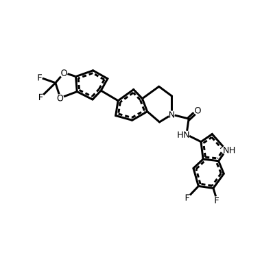 O=C(Nc1c[nH]c2cc(F)c(F)cc12)N1CCc2cc(-c3ccc4c(c3)OC(F)(F)O4)ccc2C1